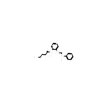 O=C(CCCO)Nc1ccccc1NC(=O)Nc1ccccc1